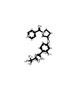 O=C(c1ccncc1)N1CCC(Oc2ccc(-c3noc(C(F)(F)F)n3)c(F)c2)C1